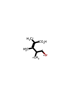 CC(C(=O)O)=C(C)C(C)CBr